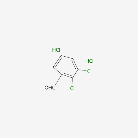 Cl.Cl.O=Cc1cccc(Cl)c1Cl